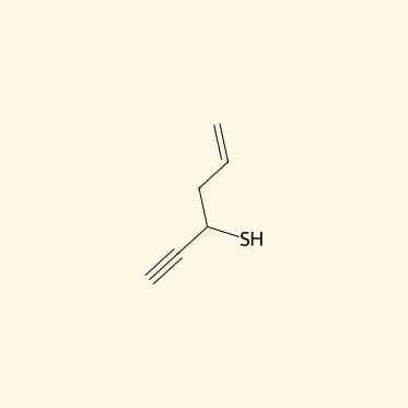 C#CC(S)CC=C